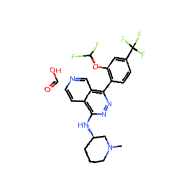 CN1CCC[C@@H](Nc2nnc(-c3ccc(C(F)(F)F)cc3OC(F)F)c3cnccc23)C1.O=CO